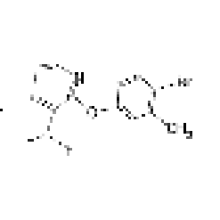 Cc1cc(Oc2ncccc2C(F)F)ccc1Br